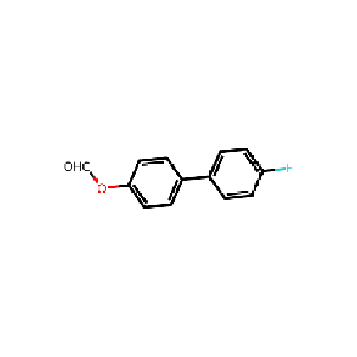 O=COc1ccc(-c2ccc(F)cc2)cc1